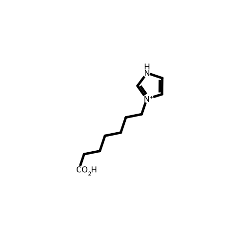 O=C(O)CCCCCC[n+]1cc[nH]c1